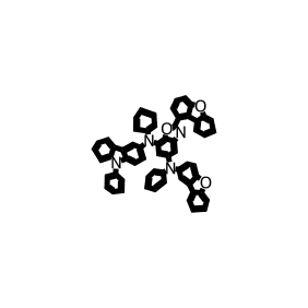 c1ccc(N(c2cc(N(c3ccccc3)c3ccc4c(c3)c3ccccc3n4-c3ccccc3)c3oc(-c4cccc5oc6ccccc6c45)nc3c2)c2ccc3oc4ccccc4c3c2)cc1